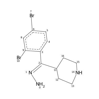 N/N=C(/c1ccc(Br)cc1Br)C1CCNCC1